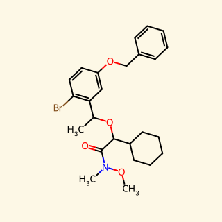 CON(C)C(=O)C(OC(C)c1cc(OCc2ccccc2)ccc1Br)C1CCCCC1